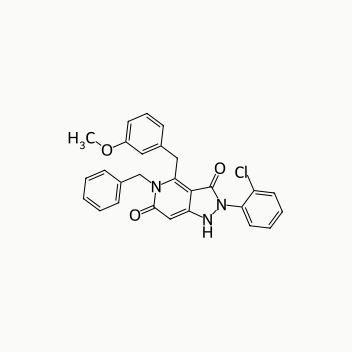 COc1cccc(Cc2c3c(=O)n(-c4ccccc4Cl)[nH]c3cc(=O)n2Cc2ccccc2)c1